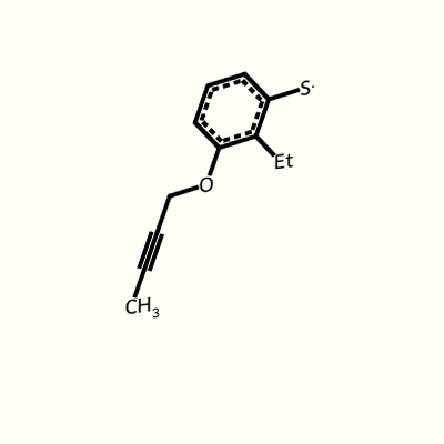 CC#CCOc1cccc([S])c1CC